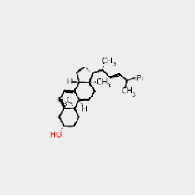 CC(C)[C@@H](C)/C=C/[C@@H](C)[C@H]1CC[C@H]2C3=CC=C4C[C@@H](O)CC[C@]4(C)[C@@H]3CC[C@]12C